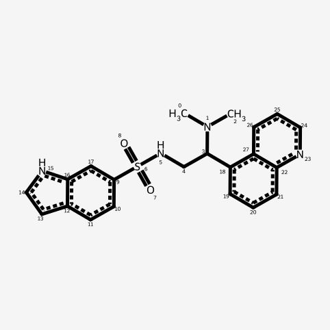 CN(C)C(CNS(=O)(=O)c1ccc2cc[nH]c2c1)c1cccc2ncccc12